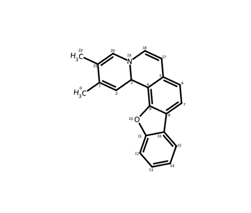 CC1=CC2c3c(ccc4c3oc3ccccc34)C=CN2C=C1C